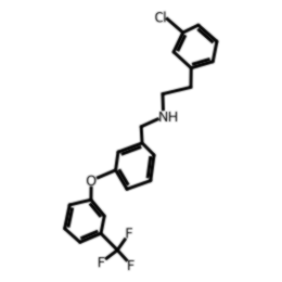 FC(F)(F)c1cccc(Oc2cccc(CNCCc3cccc(Cl)c3)c2)c1